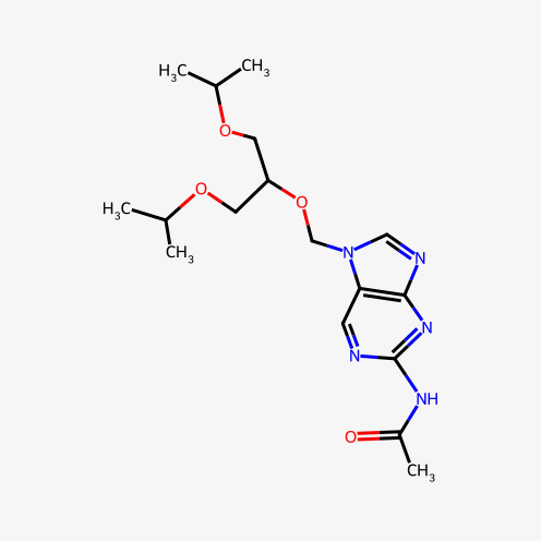 CC(=O)Nc1ncc2c(ncn2COC(COC(C)C)COC(C)C)n1